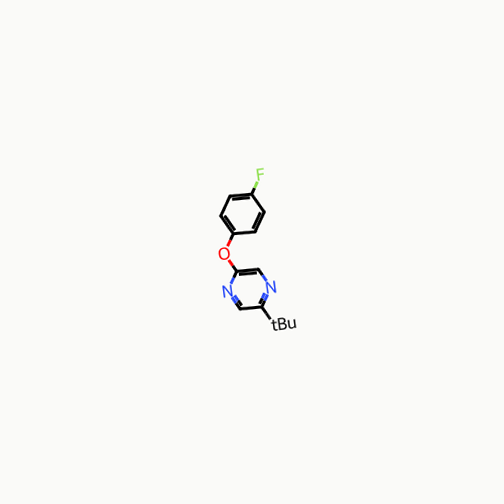 CC(C)(C)c1cnc(Oc2ccc(F)cc2)cn1